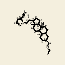 CCOC[C@H]1CC[C@H]2C(CC[C@@H]3C2CC[C@@]2(C)C3CCC2[C@@H](C)Cn2nccc2C#N)C1